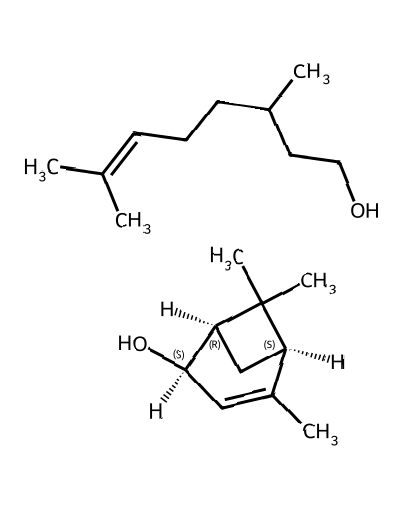 CC(C)=CCCC(C)CCO.CC1=C[C@@H](O)[C@@H]2C[C@H]1C2(C)C